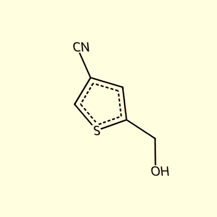 N#Cc1csc(CO)c1